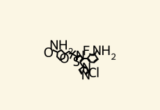 CC(C)(CC1CC(C(N)=O)CCO1)c1nc(-c2cccc(N)c2F)c(-c2ccnc(Cl)n2)s1